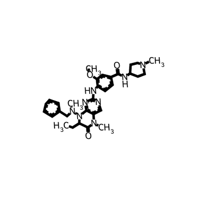 CCC1C(=O)N(C)c2cnc(Nc3ccc(C(=O)NC4CCN(C)CC4)cc3OC)nc2N1N(C)Cc1ccccc1